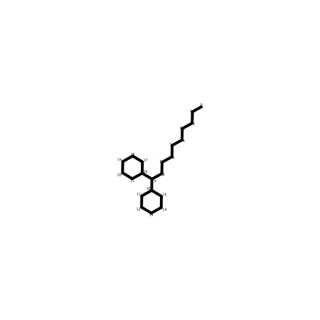 CCCCCCCCCC(C1CCCCC1)C1CCCCC1